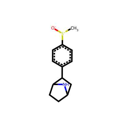 C[S+]([O-])c1ccc(C2CC3CCC2N3)cc1